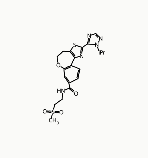 CC(C)n1ncnc1-c1nc2c(s1)CCOc1cc(C(=O)NCCS(C)(=O)=O)ccc1-2